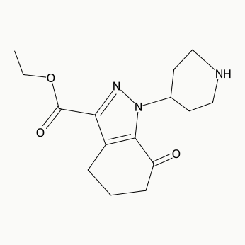 CCOC(=O)c1nn(C2CCNCC2)c2c1CCCC2=O